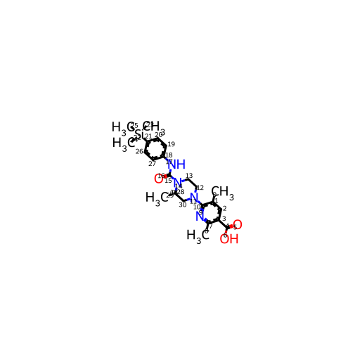 Cc1cc(C(=O)O)c(C)nc1N1CCN(C(=O)Nc2ccc([Si](C)(C)C)cc2)[C@H](C)C1